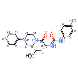 CCC[C@@H](NC(=O)Nc1ccc(Cl)cc1)C(=O)N1CCN(c2ccncc2)CC1